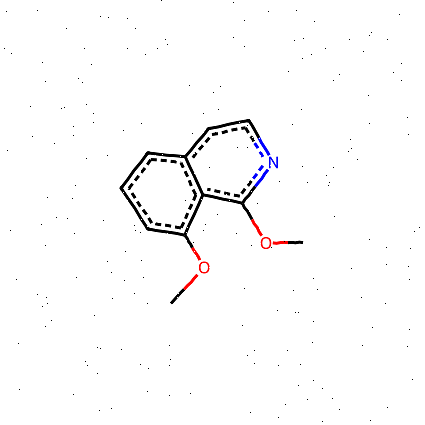 COc1cccc2ccnc(OC)c12